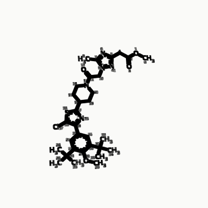 COC(=O)Cc1nc(C)n(CC(=O)N2CCC(c3nc(-c4cc(C(C)(C)C)c(OC)c(C(C)(C)C)c4)c(Cl)s3)CC2)n1